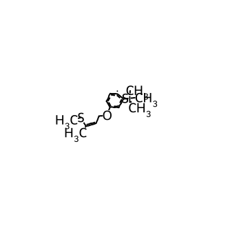 CSC(C)=CCOc1cc[c]c([Si](C)(C)C)c1